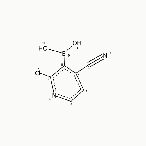 N#Cc1ccnc(Cl)c1B(O)O